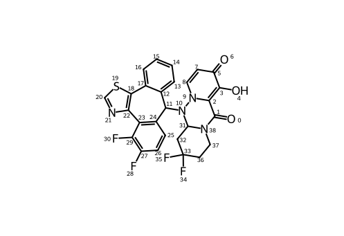 O=C1c2c(O)c(=O)ccn2N(C2c3ccccc3-c3scnc3-c3c2ccc(F)c3F)C2CC(F)(F)CCN12